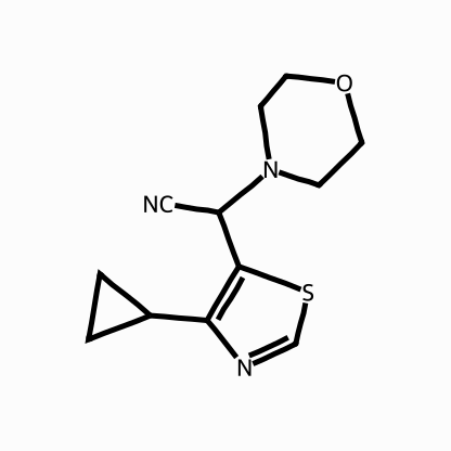 N#CC(c1scnc1C1CC1)N1CCOCC1